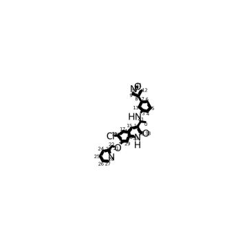 CC(Nc1cccc(-c2cnoc2)c1)c1cc2cc(Cl)c(OCc3ccccn3)cc2[nH]c1=O